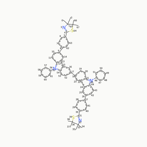 CC1(C)N=C(c2ccc(-c3ccc4c(c3)c3cc(-c5ccc6c(c5)c5cc(-c7ccc(C8=NC(C)(C)C(C)(C)S8)cc7)ccc5n6-c5ccccc5)ccc3n4-c3ccccc3)cc2)SC1(C)C